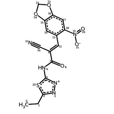 CCc1nnc(NC(=O)/C(C#N)=C/c2cc3c(cc2[N+](=O)[O-])OCO3)s1